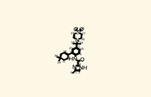 Cc1c[nH]c(C(=O)Nc2ccc(C(C)(C)N3CCS(=O)(=O)CC3)cc2C2=CCC(C)(C)CC2)n1